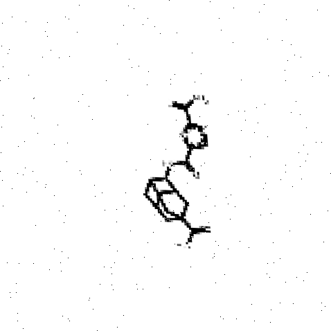 NC(=O)c1nc(C(=O)NC2C3CC4CC2CC(C(N)=O)(C4)C3)cs1